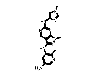 Cc1ncc(N)cc1Nc1nn(C)c2nc(Nc3cn(C)cn3)ncc12